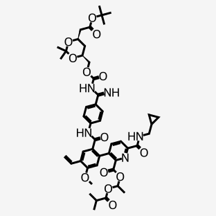 C=Cc1cc(C(=O)Nc2ccc(C(=N)NC(=O)OC[C@@H]3C[C@H](CC(=O)OC(C)(C)C)OC(C)(C)O3)cc2)c(-c2ccc(C(=O)NCC3CC3)nc2C(=O)OC(C)OC(=O)C(C)C)cc1OC